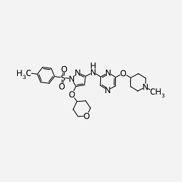 Cc1ccc(S(=O)(=O)n2nc(Nc3cncc(OC4CCN(C)CC4)n3)cc2OC2CCOCC2)cc1